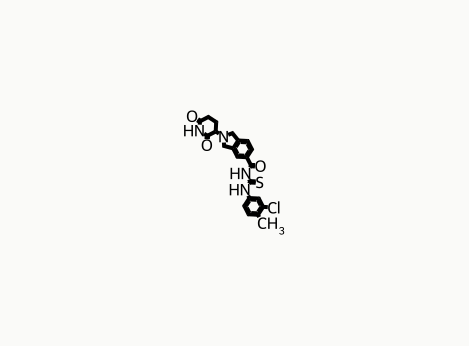 Cc1ccc(NC(=S)NC(=O)c2ccc3c(c2)CN(C2CCC(=O)NC2=O)C3)cc1Cl